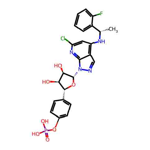 C[C@H](Nc1cc(Cl)nc2c1cnn2[C@@H]1O[C@H](c2ccc(OP(=O)(O)O)cc2)[C@@H](O)[C@H]1O)c1ccccc1F